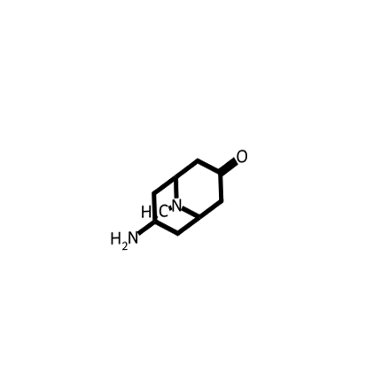 CN1C2CC(=O)CC1CC(N)C2